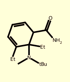 CCC1=CC=CC(C(N)=O)C1(CC)N(C)C(C)(C)C